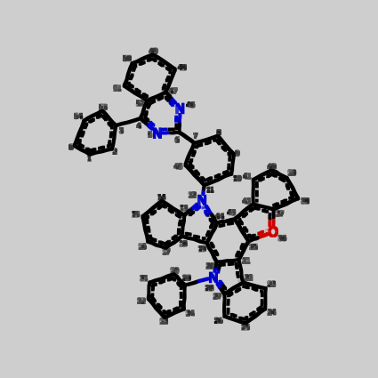 c1ccc(-c2nc(-c3cccc(-n4c5ccccc5c5c6c(c7ccccc7n6-c6ccccc6)c6oc7ccccc7c6c54)c3)nc3ccccc23)cc1